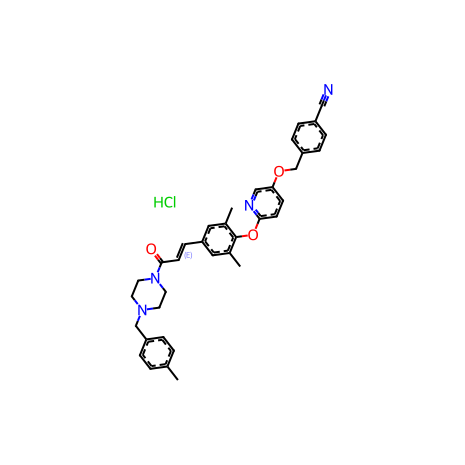 Cc1ccc(CN2CCN(C(=O)/C=C/c3cc(C)c(Oc4ccc(OCc5ccc(C#N)cc5)cn4)c(C)c3)CC2)cc1.Cl